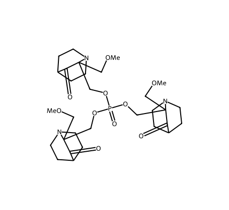 COCC1(COP(=O)(OCC2(COC)C(=O)C3CCN2CC3)OCC2(COC)C(=O)C3CCN2CC3)C(=O)C2CCN1CC2